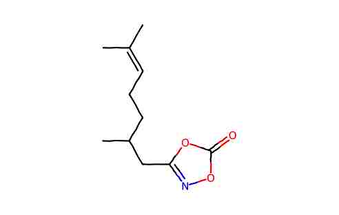 CC(C)=CCCC(C)Cc1noc(=O)o1